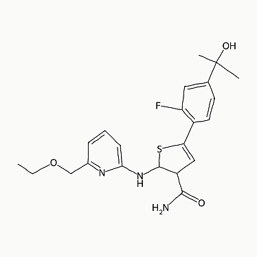 CCOCc1cccc(NC2SC(c3ccc(C(C)(C)O)cc3F)=CC2C(N)=O)n1